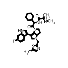 CNC(C)C(=O)NC(C(=O)N1CCC2C1=C(c1c[nH]c3cc(F)ccc13)CN2Cc1ncc(C)s1)C1CCCCC1